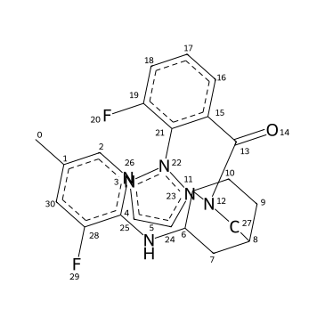 Cc1cnc(NC2CC3CCC2N(C(=O)c2cccc(F)c2-n2nccn2)C3)c(F)c1